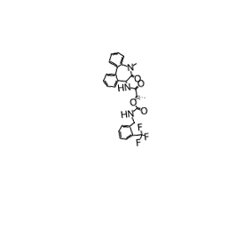 C[C@H](OC(=O)NCc1ccccc1C(F)(F)F)C(=O)NC1C(=O)N(C)c2ccccc2-c2ccccc21